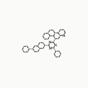 c1ccc(-c2ccc3cc(-c4nc(-c5ccccc5)nc(-c5cc6ncccc6c6ccc7ccccc7c56)n4)ccc3c2)cc1